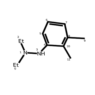 CCN(CC)Nc1cccc(C)c1C